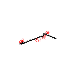 CCCCCCCCCC[C@H](O)[C@H]1CC[C@H]([C@H](O)CCCCCC(O)CCCCCCCCCCC2=C[C@H](C)OC2=O)O1